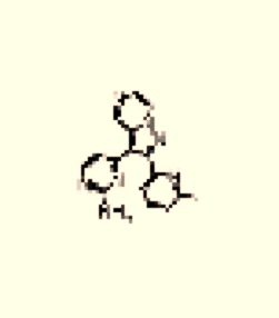 Cc1cccc(-c2nn3ccncc3c2-c2ccnc(N)n2)n1